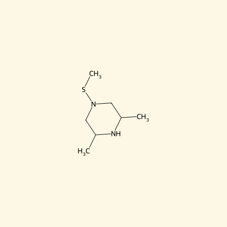 CSN1CC(C)NC(C)C1